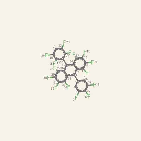 Fc1cc(-c2c3c(F)c(F)c(F)c(F)c3c(-c3c(F)c(F)cc(F)c3F)c3c(F)c(F)c(F)c(F)c23)cc(F)c1F